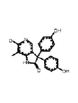 Cc1c(Cl)ncc2c1NC(=O)C2(c1ccc(O)cc1)c1ccc(O)cc1